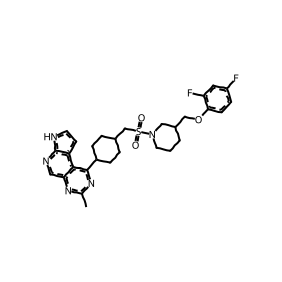 Cc1nc(C2CCC(CS(=O)(=O)N3CCCC(COc4ccc(F)cc4F)C3)CC2)c2c(cnc3[nH]ccc32)n1